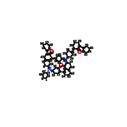 c1ccc(N(c2ccccc2)c2ccc3c(c2)Oc2c(N(c4ccc(-c5cccc6c5oc5ccccc56)cc4)c4ccc(-c5cccc6c5oc5ccccc56)cc4)ccc4cccc-3c24)cc1